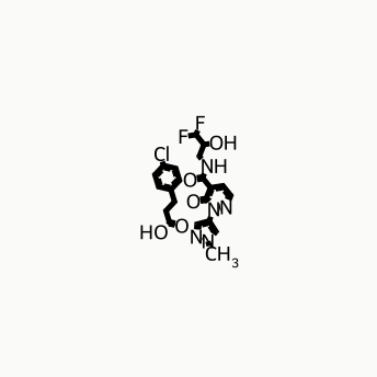 Cn1cc(-n2nccc(C(=O)NCC(O)C(F)F)c2=O)cn1.O=C(O)CCc1ccc(Cl)cc1